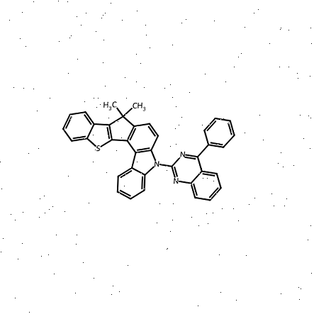 CC1(C)c2ccc3c(c2-c2sc4ccccc4c21)c1ccccc1n3-c1nc(-c2ccccc2)c2ccccc2n1